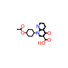 CC(=O)OC1CCC(n2cc(C(=O)O)c(=O)c3cccnc32)CC1